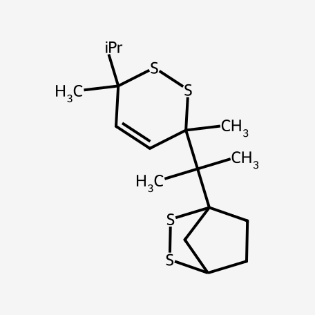 CC(C)C1(C)C=CC(C)(C(C)(C)C23CCC(C2)SS3)SS1